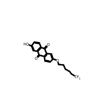 O=C1c2ccc(OCCCCCC(F)(F)F)cc2C(=O)c2ccc(O)cc21